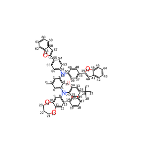 Cc1cc2c3c(c1)N(c1cc4c(cc1-c1ccccc1)OCCCO4)c1ccc(C(C)(C)C)cc1B3c1cc(-c3cc4ccccc4o3)ccc1N2c1ccc(-c2cc3ccccc3o2)cc1